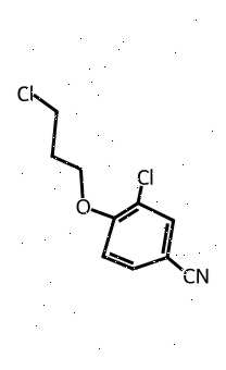 N#Cc1ccc(OCCCCl)c(Cl)c1